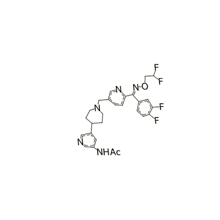 CC(=O)Nc1cncc(C2CCN(Cc3ccc(C(=NOCC(F)F)c4ccc(F)c(F)c4)nc3)CC2)c1